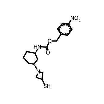 O=C(N[C@@H]1CCC[C@H](N2CC(S)C2)C1)OCc1ccc([N+](=O)[O-])cc1